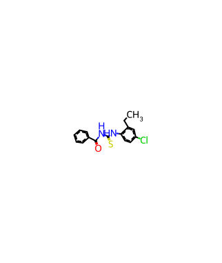 CCc1cc(Cl)ccc1NC(=S)NC(=O)c1ccccc1